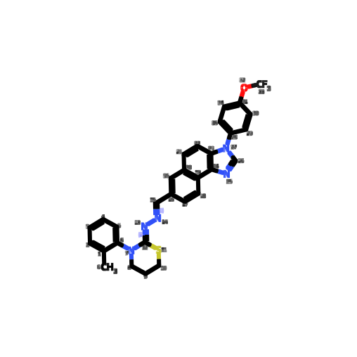 Cc1ccccc1N1CCCS/C1=N\N=C\c1ccc2c(ccc3c2ncn3-c2ccc(OC(F)(F)F)cc2)c1